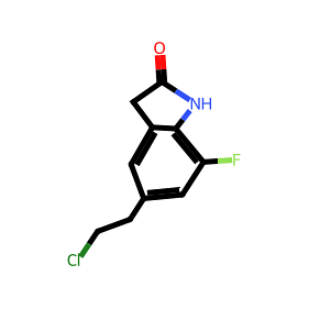 O=C1Cc2cc(CCCl)cc(F)c2N1